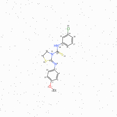 CCOc1ccc(N=C2SCCN2C(=S)Nc2cccc(Cl)c2)cc1